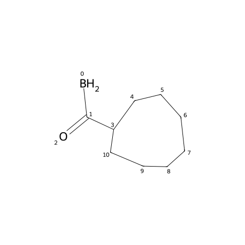 BC(=O)C1CCCCCCC1